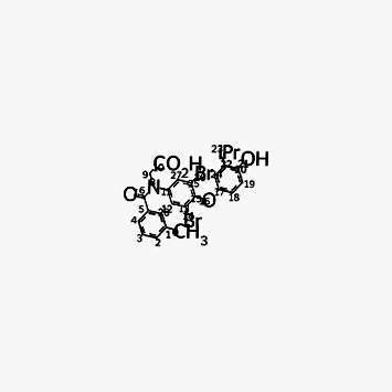 Cc1cccc(C(=O)N(CC(=O)O)c2cc(Br)c(Oc3ccc(O)c(C(C)C)c3)c(Br)c2)c1